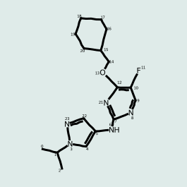 CC(C)n1cc(Nc2ncc(F)c(OCC3CCCCC3)n2)cn1